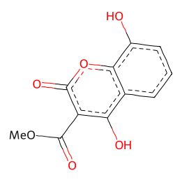 COC(=O)c1c(O)c2cccc(O)c2oc1=O